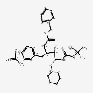 CC(C)(C)OC(=O)N[C@H](CC1CCCCC1)[C@H](O)[C@@H](Cc1ccccc1)NC(=O)OCc1ccccc1.CC(C)=O